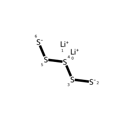 [Li+].[Li+].[S-]SSS[S-]